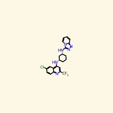 FC(F)(F)c1cc(N[C@H]2CCC[C@@H](Nc3nnc4ccccn34)C2)c2cc(Cl)ccc2n1